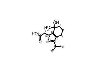 CC1(O)CCCc2c(C(F)F)nn(CC(=O)O)c21